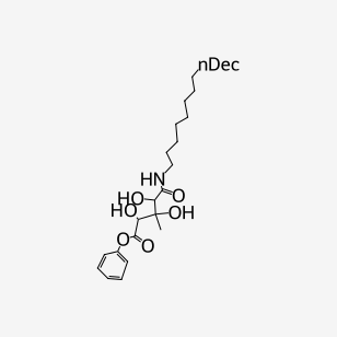 CCCCCCCCCCCCCCCCCCNC(=O)C(O)C(C)(O)C(O)C(=O)Oc1ccccc1